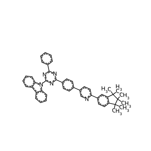 CC1(C)c2ccc(-c3ccc(-c4ccc(-c5nc(-c6ccccc6)nc(-n6c7ccccc7c7ccccc76)n5)cc4)cn3)cc2C(C)(C)C1(C)C